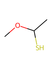 COC(C)S